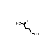 O=C(O)CCOO